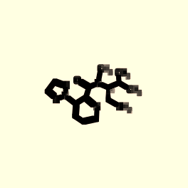 CC(C)[C@@H](CN)N(C)C(=O)c1ncccc1-n1nccn1